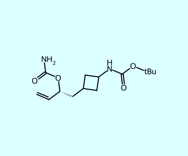 C=C[C@@H](CC1CC(NC(=O)OC(C)(C)C)C1)OC(N)=O